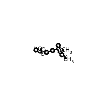 COc1ccc(Cc2sc3ccccc3c2-c2ccc(-c3ccc(O[C@H](Cc4ccccc4)C(=O)O)cc3)cc2)c(OC)c1